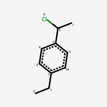 CCc1ccc(C(C)Cl)cc1